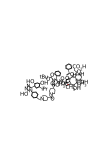 CC1=C2[C@@H](O)C(=O)[C@@]3(C)C(C4C(CC(=O)O)O[C@@H]4C[C@@H]3O)[C@@H]3OC(c4ccccc4)=CO[C@@]3(C[C@@H]1OC(=O)[C@H](OC(=O)C1CCN(C(=O)C3CCN(Cc4ccc(-n5c(O)nnc5-c5cc(C(C)C)c(O)cc5O)cc4)CC3)CC1)[C@@H](NC(=O)OC(C)(C)C)c1ccccc1)C2(C)C